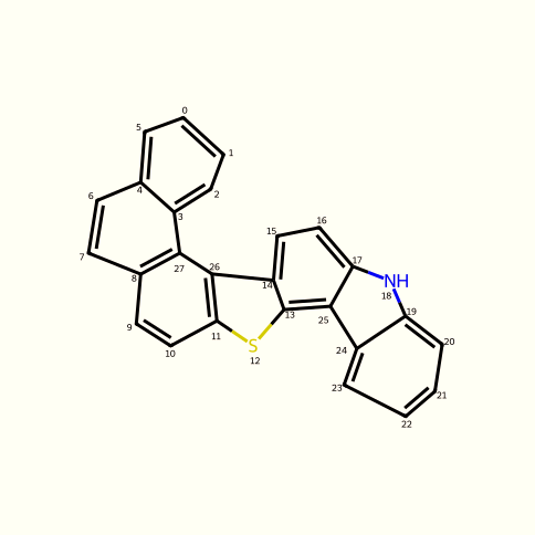 c1ccc2c(c1)ccc1ccc3sc4c(ccc5[nH]c6ccccc6c54)c3c12